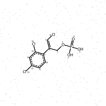 O=P(O)(O)OCC(=CCl)c1ccc(Cl)cc1Cl